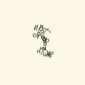 CC(CCNC(=N)CF)NCc1ccc(-n2cc3cc(-c4cc(CCC(C)(C)CN)cc(Cl)c4F)[nH]c3nc2=O)cc1